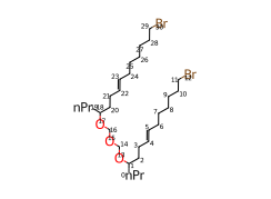 CCCC(CCC=CCCCCCCBr)OCOCOC(CCC)CCC=CCCCCCCBr